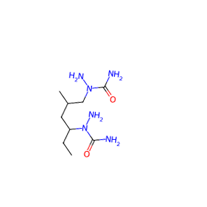 CCC(CC(C)CN(N)C(N)=O)N(N)C(N)=O